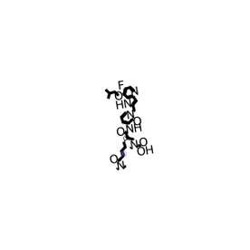 CC(C)COc1c(F)cnc2cc(Cn3cccc(NC(=O)[C@@H](CC/C=C/C(=O)N(C)C)CN(C)C(=O)O)c3=O)[nH]c12